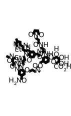 CCc1nc(C)oc1C(=O)Nc1nc2cc(C(N)=O)cc(OCCCN(C)C(=O)OCc3ccc(O[C@@H]4O[C@H](C(=O)O)[C@@H](O)[C@H](O)[C@H]4O)c(NC(=O)CCNC(=O)CCN4C(=O)C=CC4=O)c3)c2n1C/C=C/Cn1c2cc(-c3cc(C)nn3CC)nnc2c2cc(C(N)=O)cc(OC)c21